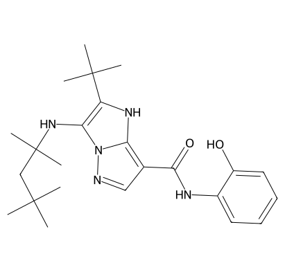 CC(C)(C)CC(C)(C)Nc1c(C(C)(C)C)[nH]c2c(C(=O)Nc3ccccc3O)cnn12